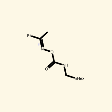 CCCCCCCNC(=O)O/N=C(\C)CC